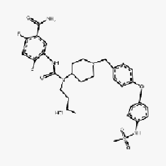 CCCCN(C(=O)Nc1cc(C(N)=O)c(F)cc1F)C1CCN(Cc2ccc(Oc3ccc(NS(C)(=O)=O)cc3)cc2)CC1.Cl